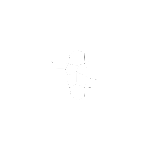 CC1(C)CCCC(C)(C)N1C(CCN)(CCCN)N1C(C)(C)CCCC1(C)C